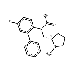 CN1CCC[C@H]1CN(C(=O)O)c1ccc(F)cc1-c1ccccc1